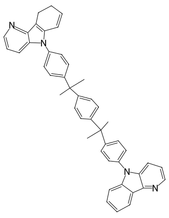 CC(C)(c1ccc(-n2c3c(c4ncccc42)CCC=C3)cc1)c1ccc(C(C)(C)c2ccc(-n3c4ccccc4c4ncccc43)cc2)cc1